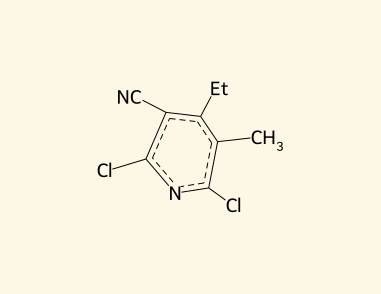 CCc1c(C)c(Cl)nc(Cl)c1C#N